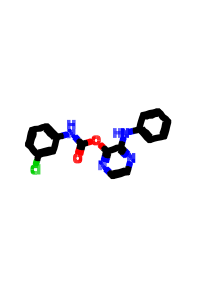 O=C(Nc1cccc(Cl)c1)Oc1nccnc1Nc1ccccc1